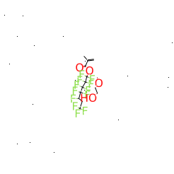 C=C(C)C(=O)OC(F)(F)C(F)(F)C(F)(F)C(F)(F)C(F)CC(F)(F)F.COCCO